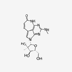 CNc1nc2c3c(cn([C@@H]4O[C@H](CO)[C@@H](O)[C@@]4(C)O)c3n1)C=CC(=O)N2